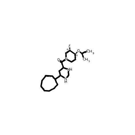 CC(C)O[C@H]1CCN(C(=O)C2CC(C3CCCCCCCC3)NCN2)C[C@H]1F